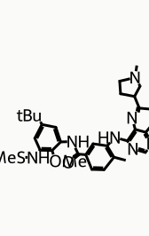 COc1c(NSC)cc(C(C)(C)C)cc1NC(=O)c1ccc(C)c(Nc2ncnc3ccc(C4CCN(C)C4)nc23)c1